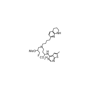 COC(CF)CN(CCCCc1ccc2c(n1)NCCC2)CCC(Nc1ncnc2sc(C)cc12)C(=O)O